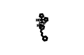 O=C(O[C@H]1C[N+]2(CC=Cc3ccccc3)CCC1CC2)C(O)(c1cccs1)c1cccs1